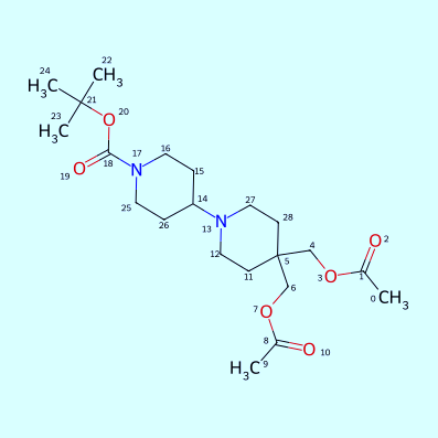 CC(=O)OCC1(COC(C)=O)CCN(C2CCN(C(=O)OC(C)(C)C)CC2)CC1